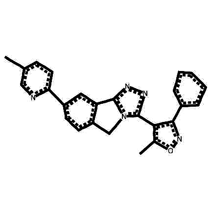 Cc1ccc(-c2ccc3c(c2)-c2nnc(-c4c(-c5ccccc5)noc4C)n2C3)nc1